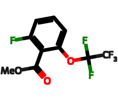 COC(=O)c1c(F)cccc1OC(F)(F)C(F)(F)F